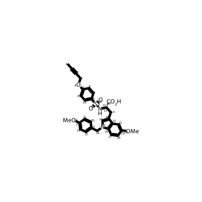 CC#CCOc1ccc(S(=O)(=O)N[C@@H](Cc2cn(Cc3ccc(OC)cc3)c3ccc(OC)cc23)C(=O)O)cc1